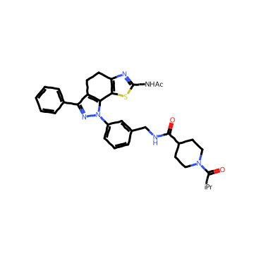 CC(=O)Nc1nc2c(s1)-c1c(c(-c3ccccc3)nn1-c1cccc(CNC(=O)C3CCN(C(=O)C(C)C)CC3)c1)CC2